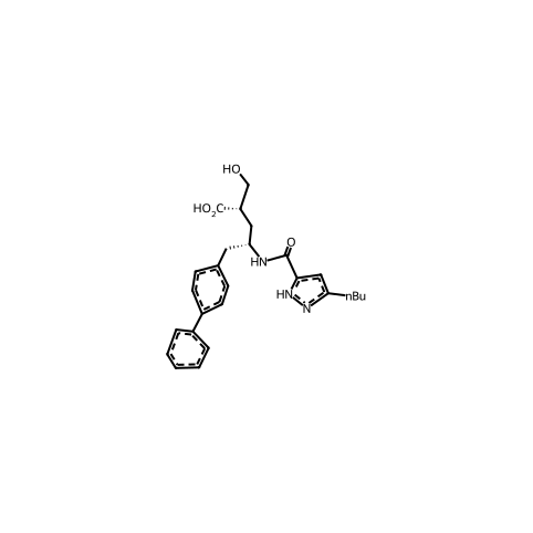 CCCCc1cc(C(=O)N[C@H](Cc2ccc(-c3ccccc3)cc2)C[C@@H](CO)C(=O)O)[nH]n1